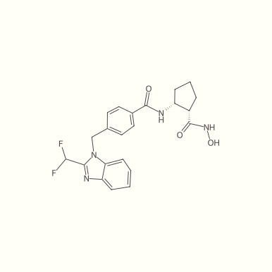 O=C(N[C@@H]1CCC[C@@H]1C(=O)NO)c1ccc(Cn2c(C(F)F)nc3ccccc32)cc1